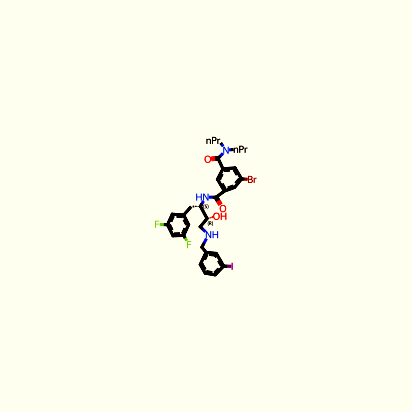 CCCN(CCC)C(=O)c1cc(Br)cc(C(=O)N[C@@H](Cc2cc(F)cc(F)c2)[C@H](O)CNCc2cccc(I)c2)c1